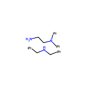 CC(C)CNCC(C)C.CC(C)N(CCN)C(C)C